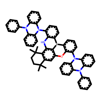 CC1(C)CCC(C)(C)c2c1cc1c3c2Nc2c(cccc2N2c4ccccc4N(c4ccccc4)c4ccccc42)B3c2cccc(N3c4ccccc4N(c4ccccc4)c4ccccc43)c2O1